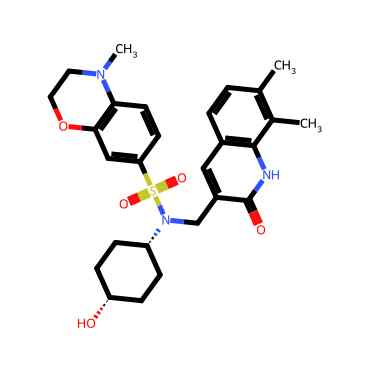 Cc1ccc2cc(CN([C@H]3CC[C@@H](O)CC3)S(=O)(=O)c3ccc4c(c3)OCCN4C)c(=O)[nH]c2c1C